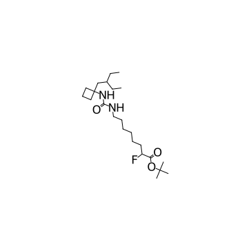 CCC(CC)CC1(NC(=O)NCCCCCCC(F)C(=O)OC(C)(C)C)CCC1